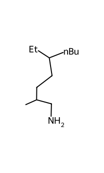 CCCCC(CC)CCC(C)CN